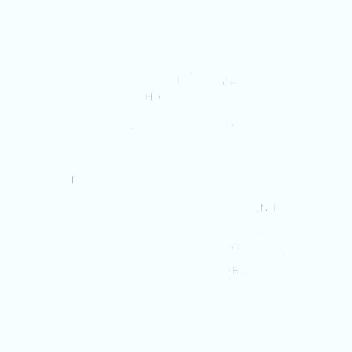 CC1=C(c2ccc(F)cc2)c2ccc(NC(=O)OC(C)(C)C)cc2OC1(C)C